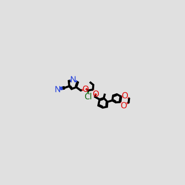 CCC(OCc1cccc(-c2ccc3c(c2)OCCO3)c1C)C(Cl)OCc1cncc(C#N)c1